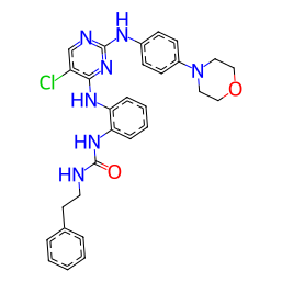 O=C(NCCc1ccccc1)Nc1ccccc1Nc1nc(Nc2ccc(N3CCOCC3)cc2)ncc1Cl